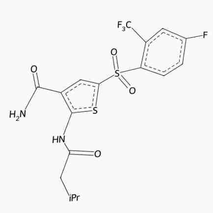 CC(C)CC(=O)Nc1sc(S(=O)(=O)c2ccc(F)cc2C(F)(F)F)cc1C(N)=O